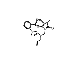 C=C/C=C(\C=C)Cn1c(=O)n(C)c2cnc(-c3ccccc3C(C)C)nc21